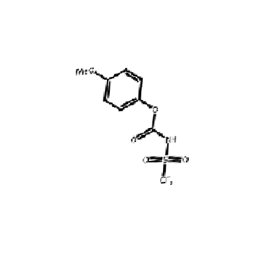 COc1ccc(OC(=O)NS(=O)(=O)C(F)(F)F)cc1